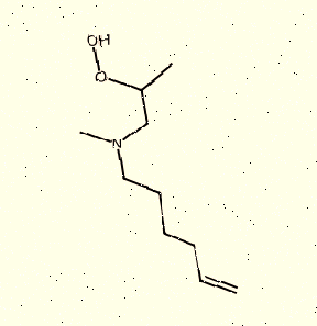 C=CCCCCN(C)CC(C)OO